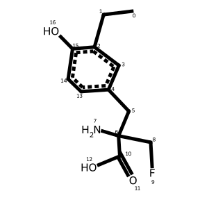 CCc1cc(CC(N)(CF)C(=O)O)ccc1O